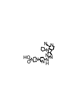 N#Cc1nccc2c3cnc(Nc4ccc(N5CCN(C(=O)O)CC5)cn4)nc3n(C3CCCC3)c12